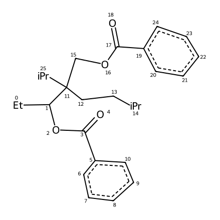 CCC(OC(=O)c1ccccc1)C(CCC(C)C)(COC(=O)c1ccccc1)C(C)C